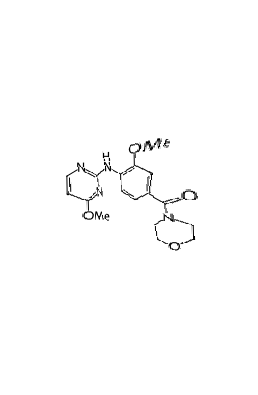 COc1ccnc(Nc2ccc(C(=O)N3CCOCC3)cc2OC)n1